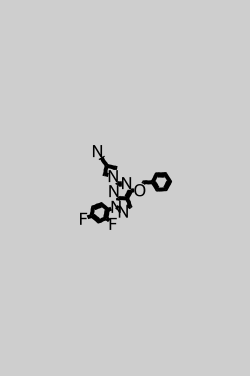 N#CC1CN(c2nc(OCc3ccccc3)c3cnn(-c4ccc(F)cc4F)c3n2)C1